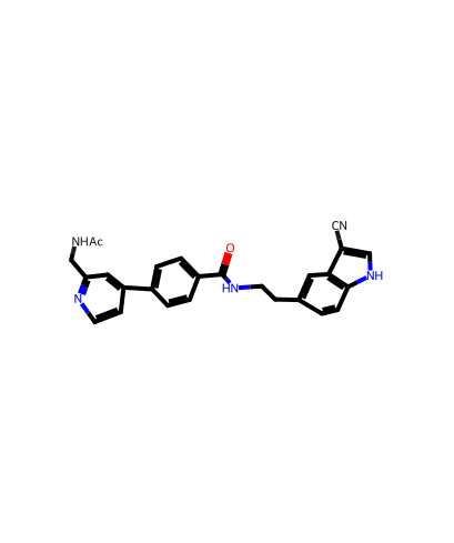 CC(=O)NCc1cc(-c2ccc(C(=O)NCCc3ccc4[nH]cc(C#N)c4c3)cc2)ccn1